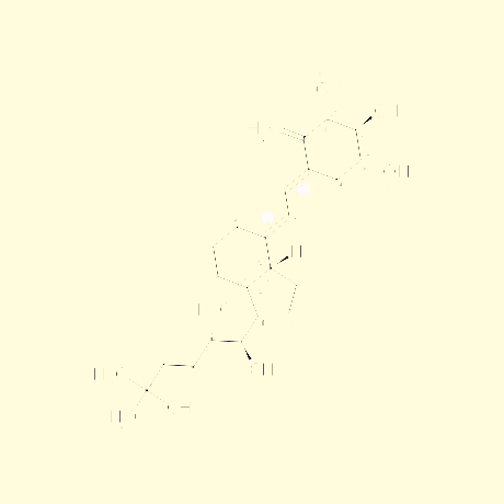 C=C1/C(=C/C=C2\CCC[C@]3(C)[C@@H]([C@@H](C)CCCC(C)(C)O)CC[C@@H]23)C[C@@H](O)[C@H](C)[C@H]1O